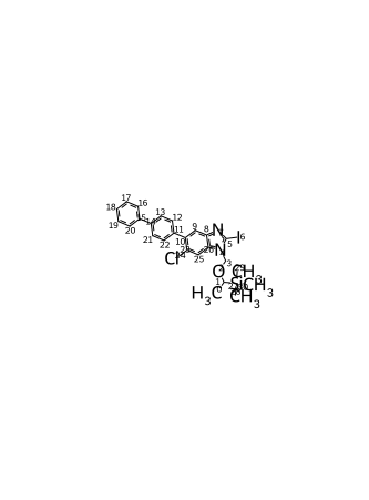 CC(OCn1c(I)nc2cc(-c3ccc(-c4ccccc4)cc3)c(Cl)cc21)[Si](C)(C)C